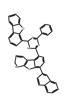 C1=Cc2c(oc3c(-c4ccc5ccccc5c4)ccc(C4=NC(c5ccccc5)=NC(c5cccc6c5oc5ccccc56)N4)c23)NC1